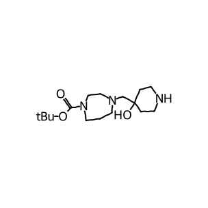 CC(C)(C)OC(=O)N1CCCN(CC2(O)CCNCC2)CC1